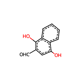 O=Cc1cc(O)c2ccccc2c1O